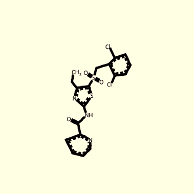 CCc1nc(NC(=O)c2ccccn2)sc1S(=O)(=O)Cc1c(Cl)cccc1Cl